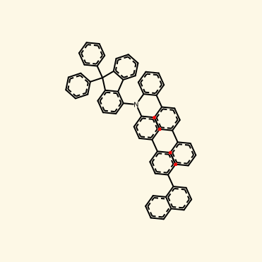 c1ccc(-c2ccc(-c3ccccc3N(c3ccc(-c4ccc(-c5cccc6ccccc56)cc4)cc3)c3cccc4c3-c3ccccc3C4(c3ccccc3)c3ccccc3)cc2)cc1